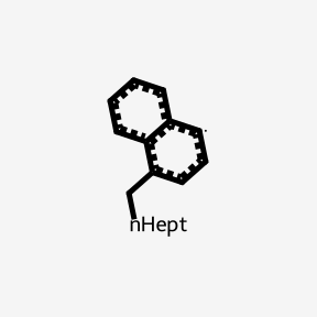 CCCCCCCCc1cc[c]c2ccccc12